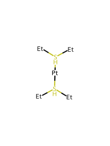 CC[SH](CC)[Pt][SH](CC)CC